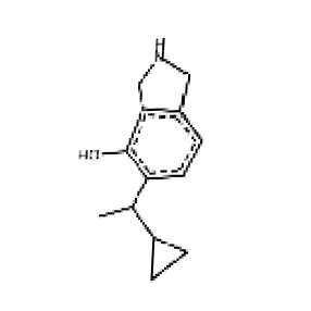 CC(c1ccc2c(c1O)CNC2)C1CC1